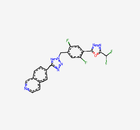 Fc1cc(-c2nnc(C(F)F)o2)c(F)cc1Cn1nnc(-c2ccc3cnccc3c2)n1